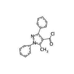 Cc1c(C(=O)Cl)c(-c2ccccc2)nn1-c1ccccc1